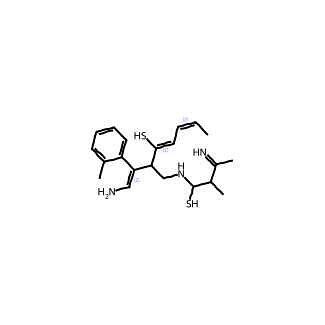 C/C=C\C=C(/S)C(CNC(S)C(C)C(C)=N)/C(=C/N)c1ccccc1C